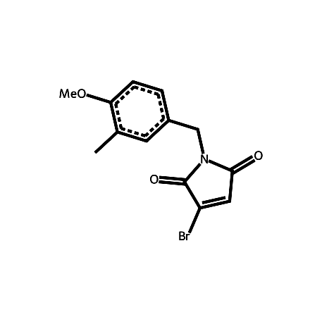 COc1ccc(CN2C(=O)C=C(Br)C2=O)cc1C